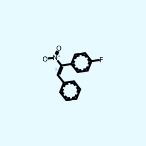 O=[N+]([O-])/C(=C/c1ccccc1)c1ccc(F)cc1